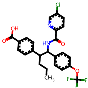 CCCC(c1ccc(C(=O)O)cc1)C(NC(=O)c1ccc(Cl)cn1)c1ccc(OC(F)(F)F)cc1